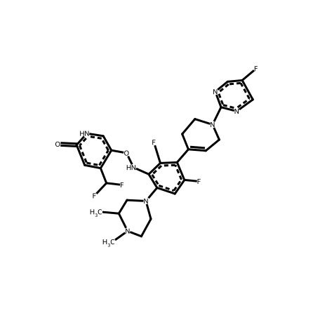 CC1CN(c2cc(F)c(C3=CCN(c4ncc(F)cn4)CC3)c(F)c2NOc2c[nH]c(=O)cc2C(F)F)CCN1C